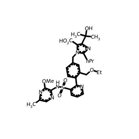 CCCc1nc(C(C)(C)O)c(C(=O)O)n1Cc1ccc(-c2ncccc2S(=O)(=O)Nc2ncc(C)nc2OC)c(COCC)c1